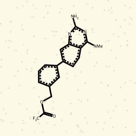 CNc1nc(N)nc2cc(-c3cccc(COC(=O)C(F)(F)F)c3)ccc12